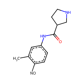 Cc1cc(NC(=O)C2CCNC2)ccc1N=O